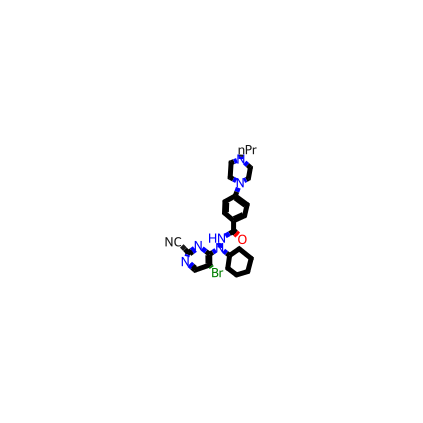 CCCN1CCN(c2ccc(C(=O)NN(c3nc(C#N)ncc3Br)C3CCCCC3)cc2)CC1